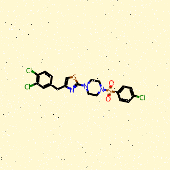 O=S(=O)(c1ccc(Cl)cc1)N1CCN(c2nc(Cc3ccc(Cl)c(Cl)c3)cs2)CC1